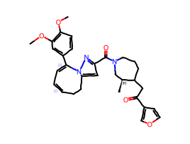 COc1ccc(/C2=C/C=C\CCc3cc(C(=O)N4CCCC(CC(=O)c5ccoc5)[C@@H](C)C4)nn32)cc1OC